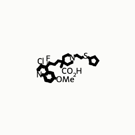 COc1ccc2ncc(Cl)c([C@H](F)CCC3(CC(=O)O)CCN(CCSC4CCCC4)CC3)c2c1